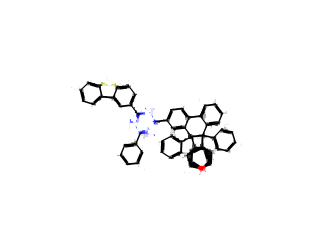 c1ccc(-c2nc(-c3ccc4c(c3)C(c3ccccc3)(c3ccccc3)C(c3ccccc3)(c3ccccc3)c3ccccc3-4)nc(-c3ccc4sc5ccccc5c4c3)n2)cc1